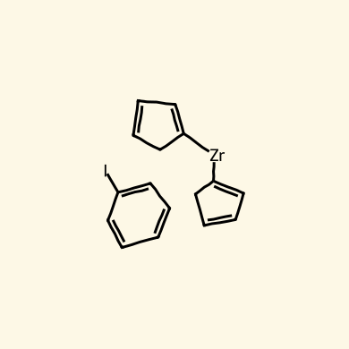 C1=CC[C]([Zr][C]2=CC=CC2)=C1.Ic1ccccc1